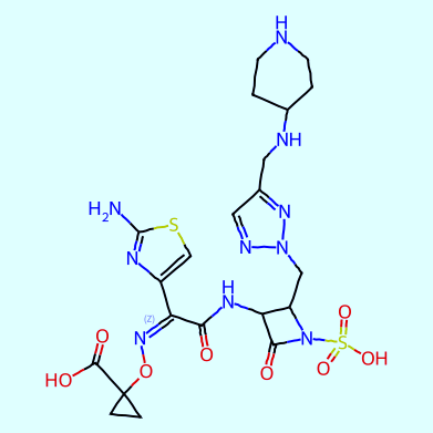 Nc1nc(/C(=N/OC2(C(=O)O)CC2)C(=O)NC2C(=O)N(S(=O)(=O)O)C2Cn2ncc(CNC3CCNCC3)n2)cs1